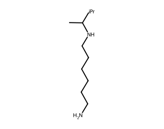 CC(C)C(C)NCCCCCCN